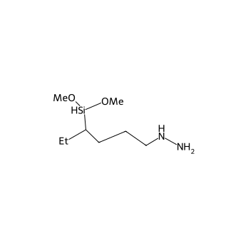 CCC(CCCNN)[SiH](OC)OC